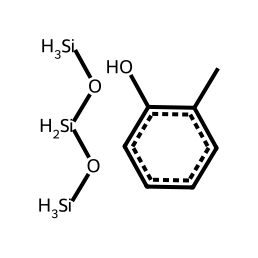 Cc1ccccc1O.[SiH3]O[SiH2]O[SiH3]